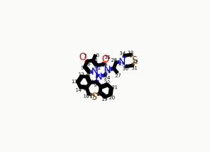 Cc1c2n(ccc1=O)N(C1c3ccccc3CSc3ccccc31)CN(C(C)CN1CCSCC1)C2=O